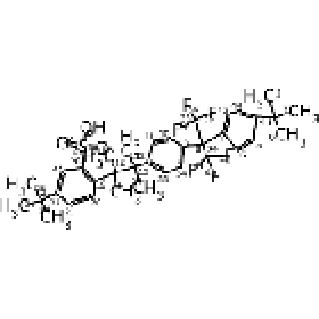 CC(C)(C)c1ccc(C(c2ccc(C(C)(C)C(C)(C)c3ccc(C(C)(C)C)cc3S(=O)(=O)O)cc2)(C(F)(F)F)C(F)(F)F)cc1